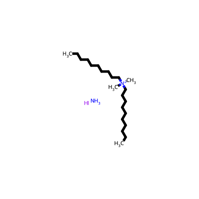 CCCCCCCCCC[N+](C)(C)CCCCCCCCCC.I.N